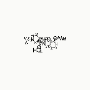 COc1cccc(CNC(=O)C2CCCN(C3CC3)C2)c1OC.Cl